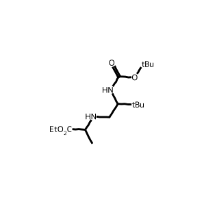 CCOC(=O)C(C)NCC(NC(=O)OC(C)(C)C)C(C)(C)C